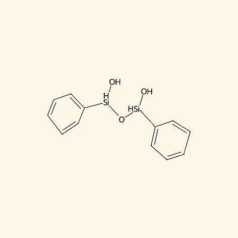 O[SiH](O[SiH](O)c1ccccc1)c1ccccc1